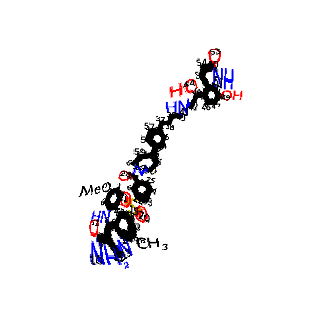 COc1cccc(Nc2c(C(N)=O)cnc3c(C)cc(S(=O)(=O)c4cccc(C(=O)N5CCC(c6ccc(CCCCNCC(O)c7ccc(O)c8[nH]c(=O)ccc78)cc6)CC5)c4)cc23)c1